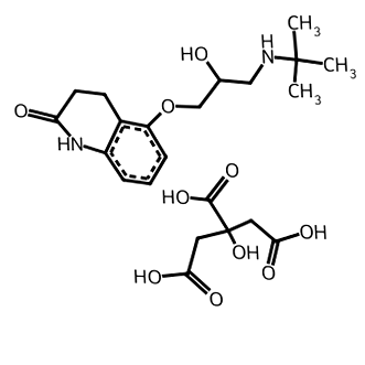 CC(C)(C)NCC(O)COc1cccc2c1CCC(=O)N2.O=C(O)CC(O)(CC(=O)O)C(=O)O